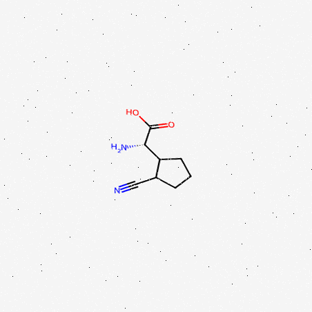 N#CC1CCCC1[C@H](N)C(=O)O